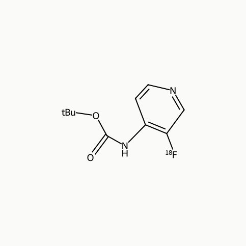 CC(C)(C)OC(=O)Nc1ccncc1[18F]